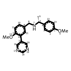 COc1ccc([C@@H](C)NCc2ccc(OC)c(-c3cncnc3)c2)cc1